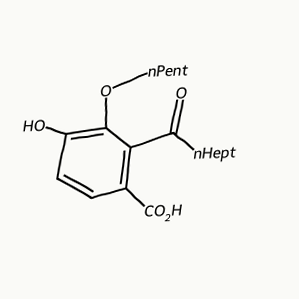 CCCCCCCC(=O)c1c(C(=O)O)ccc(O)c1OCCCCC